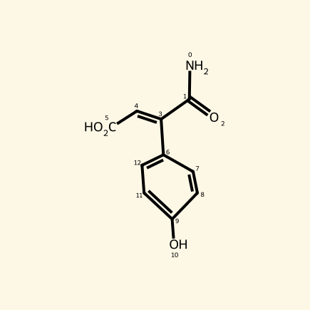 NC(=O)/C(=C/C(=O)O)c1ccc(O)cc1